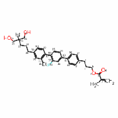 C=C(C)C(=O)OCCCc1ccc(-c2ccc(-c3ccc(CCCC(CC)(CO)CO)cc3CC)c(F)c2)cc1